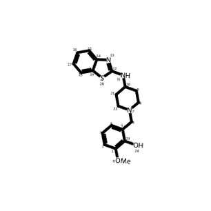 COc1cccc(CN2CCC(Nc3nc4ccccc4s3)CC2)c1O